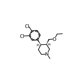 CCOC[C@H]1CN(C)CC[C@H]1c1ccc(Cl)c(Cl)c1